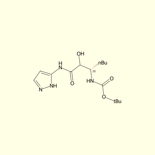 CCCC[C@H](NC(=O)OC(C)(C)C)C(O)C(=O)Nc1ccn[nH]1